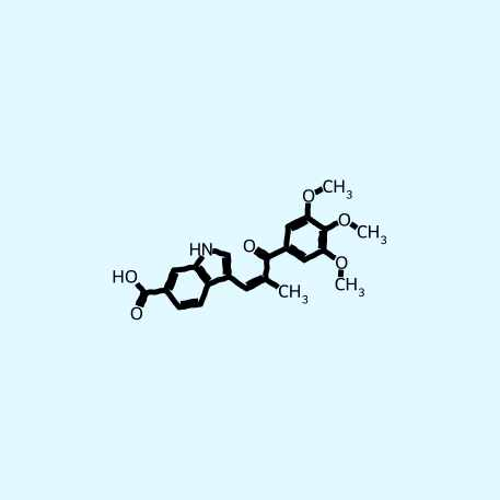 COc1cc(C(=O)C(C)=Cc2c[nH]c3cc(C(=O)O)ccc23)cc(OC)c1OC